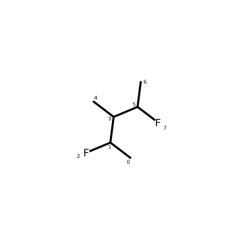 CC(F)C(C)C(C)F